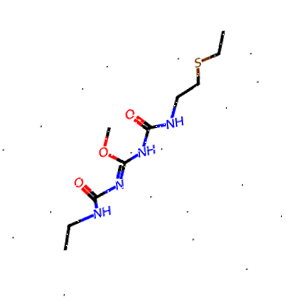 CCNC(=O)N=C(NC(=O)NCCSCC)OC